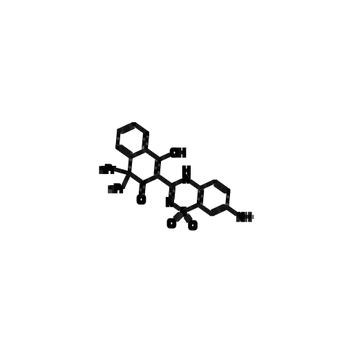 CCCC1(CCC)C(=O)C(C2=NS(=O)(=O)c3cc([NH])ccc3N2)=C(O)c2ccccc21